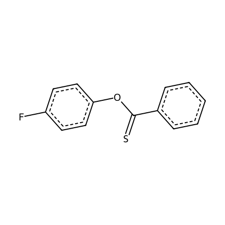 Fc1ccc(OC(=S)c2ccccc2)cc1